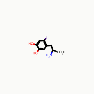 NC(Cc1cc(O)c(O)cc1I)C(=O)O